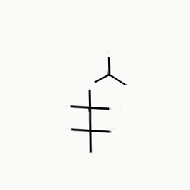 CC(F)(F)C(F)(F)OC(F)F